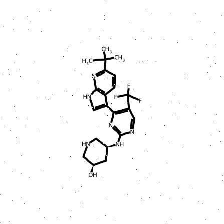 CC(C)(C)c1ccc2c(-c3nc(N[C@@H]4CNC[C@H](O)C4)ncc3C(F)(F)F)c[nH]c2n1